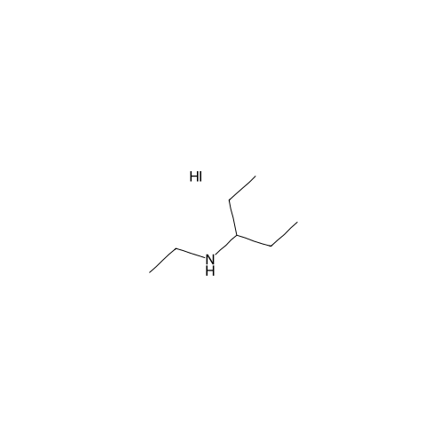 CCNC(CC)CC.I